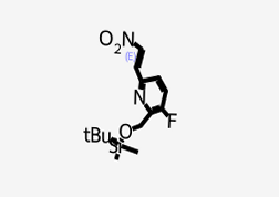 CC(C)(C)[Si](C)(C)OCc1nc(/C=C/[N+](=O)[O-])ccc1F